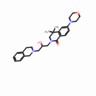 CC1(C)CN(CC(O)CN2CCc3ccccc3C2)C(=O)c2ccc(N3CCOCC3)cc21